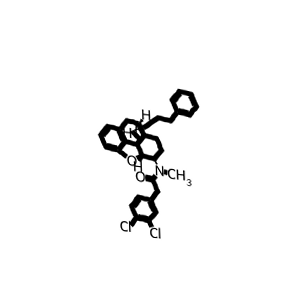 CN(C(=O)Cc1ccc(Cl)c(Cl)c1)[C@H]1CC[C@@]2(O)[C@H]3Cc4cccc5c4[C@@]2(CCN3CCc2ccccc2)[C@H]1O5